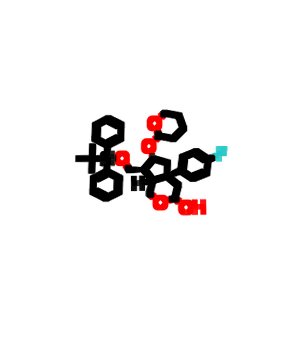 CC(C)(C)[Si](OC[C@@H]1[C@H]2COC(O)C[C@@]2(c2ccc(F)cc2)C[C@H]1OC1CCCCO1)(c1ccccc1)c1ccccc1